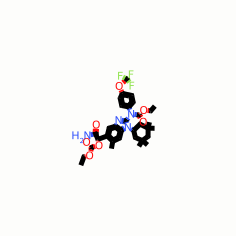 CCOC(=O)OC(C(N)=O)c1cc2nc(N(C(=O)OCC)c3ccc(OC(F)(F)F)cc3)n(C3CC(C)(C)CC(C)(C)C3)c2cc1C